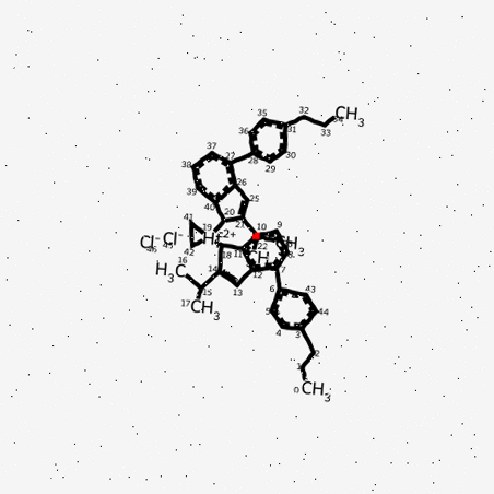 CCCc1ccc(-c2cccc3c2C=C(C(C)C)[CH]3[Hf+2]2([CH]3C(C(C)C)=Cc4c(-c5ccc(CCC)cc5)cccc43)[CH2][CH2]2)cc1.[Cl-].[Cl-]